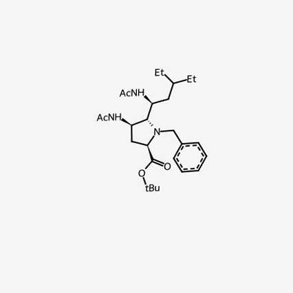 CCC(CC)C[C@H](NC(C)=O)[C@H]1[C@H](NC(C)=O)C[C@H](C(=O)OC(C)(C)C)N1Cc1ccccc1